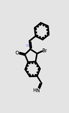 N=Cc1ccc2c(c1)C(Br)/C(=C\c1ccccc1)C2=O